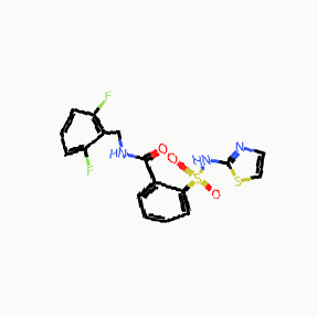 O=C(NCc1c(F)cccc1F)c1ccccc1S(=O)(=O)Nc1nccs1